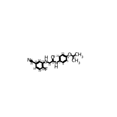 CC(C)Oc1ccc(NC(=O)CNc2cc(C#N)ccc2F)cc1